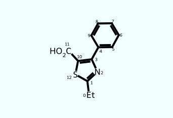 CCc1nc(-c2ccccc2)c(C(=O)O)s1